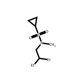 CCC(CC)CN(C)S(=O)(=O)C1CC1